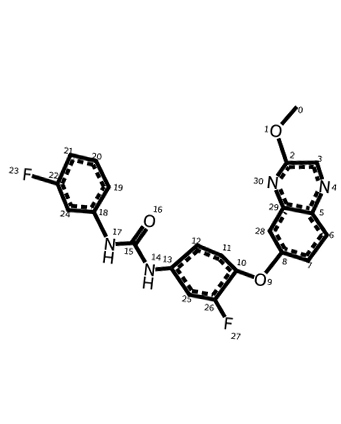 COc1cnc2ccc(Oc3ccc(NC(=O)Nc4cccc(F)c4)cc3F)cc2n1